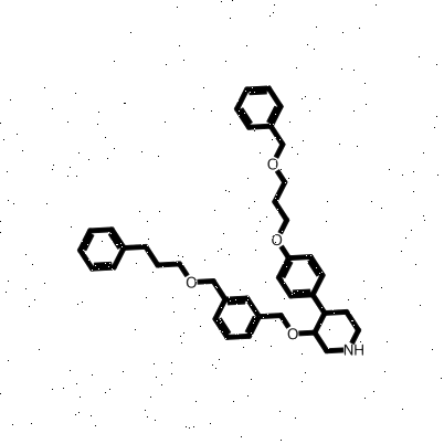 c1ccc(CCCOCc2cccc(COC3CNCCC3c3ccc(OCCCOCc4ccccc4)cc3)c2)cc1